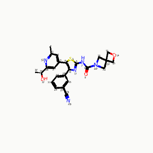 Cc1cc(-c2sc(NC(=O)N3CC4(COC4)C3)nc2-c2cccc(C#N)c2)cc([C@H](C)O)n1